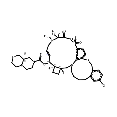 CN1C/C=C/[C@H](OC(=O)N2CCN3CCOC[C@H]3C2)[C@@H]2CC[C@H]2CN2CCCCc3cc(Cl)ccc3COc3ccc(cc32)S(=O)(=O)NC(=O)C1(C)C